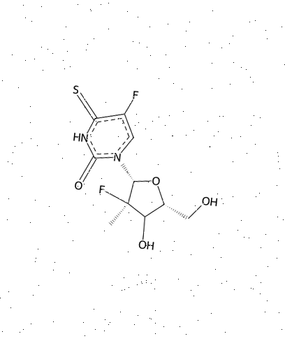 C[C@@]1(F)C(O)[C@@H](CO)O[C@H]1n1cc(F)c(=S)[nH]c1=O